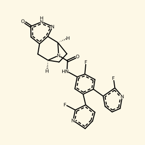 O=C(Nc1cc(-c2cccnc2F)c(-c2cccnc2F)cc1F)N1[C@H]2CC[C@@H]1c1n[nH]c(=O)cc1C2